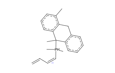 C=C/C=C\[PH](C)(C)C1(C)c2ccccc2Cc2c(C)cccc21